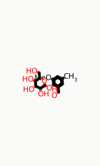 COc1cc(C)cc(CO)c1OC1OC(CO)C(O)C(O)C1O